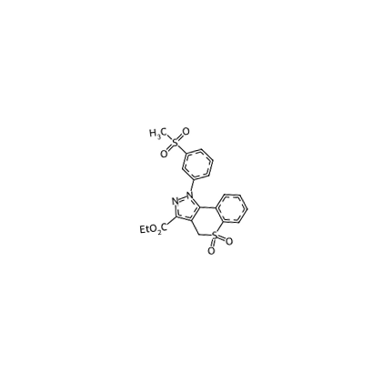 CCOC(=O)c1nn(-c2cccc(S(C)(=O)=O)c2)c2c1CS(=O)(=O)c1ccccc1-2